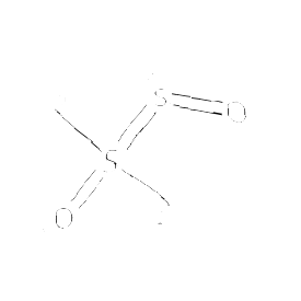 CS(C)(=O)=S=O